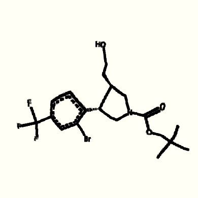 CC(C)(C)OC(=O)N1C[C@H](CCO)[C@@H](c2ccc(C(F)(F)F)cc2Br)C1